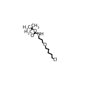 CC(C)(C)OC(=O)NCCCOCCCCCCl